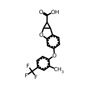 Cc1cc(C(F)(F)F)ccc1Oc1ccc2c(c1)OC1C(C(=O)O)C21